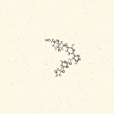 Cc1nc(-c2nnn(C)c2COc2nccc(O[C@H]3CCOC3)n2)ccc1O[C@H]1C[C@@H]2CC[C@@H](C(=O)O)[C@@H]2C1